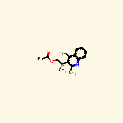 Cc1nc2ccccc2c(C)c1[C@H](C)COC(=O)C(C)(C)C